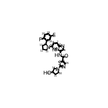 O=C(Nc1cnc2ccc(N3CCCC3c3cc(F)ccc3F)nn12)c1cnc(N2CCC(O)C2)s1